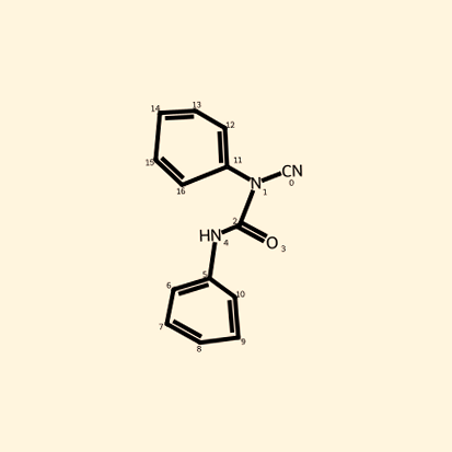 N#CN(C(=O)Nc1ccccc1)c1ccccc1